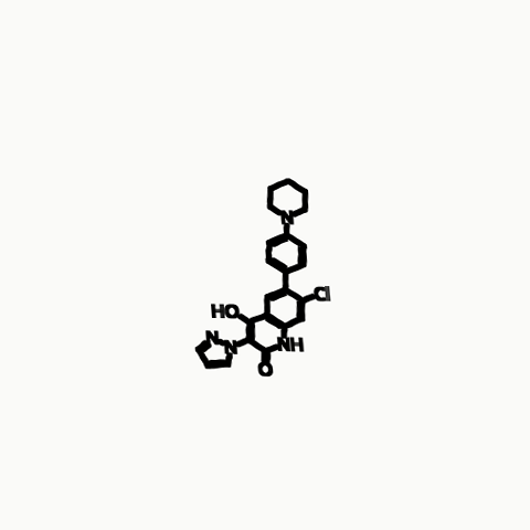 O=c1[nH]c2cc(Cl)c(-c3ccc(N4CCCCC4)cc3)cc2c(O)c1-n1cccn1